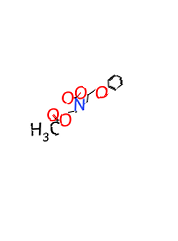 CC(=O)OCCN1CC(COc2ccccc2)OC1=O